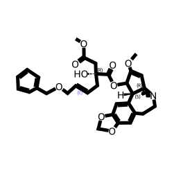 COC(=O)C[C@](O)(C/C=C/COCc1ccccc1)C(=O)OC1C(OC)=C[C@]23CCCN2CCc2cc4c(cc2[C@H]13)OCO4